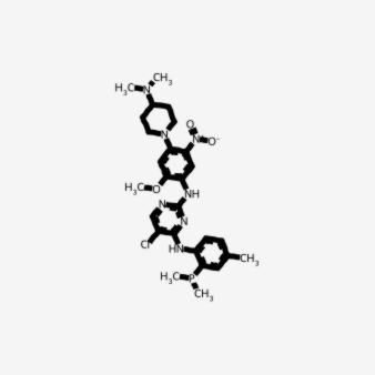 COc1cc(N2CCC(N(C)C)CC2)c([N+](=O)[O-])cc1Nc1ncc(Cl)c(Nc2ccc(C)cc2P(C)C)n1